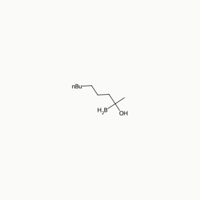 BC(C)(O)CCCCCCC